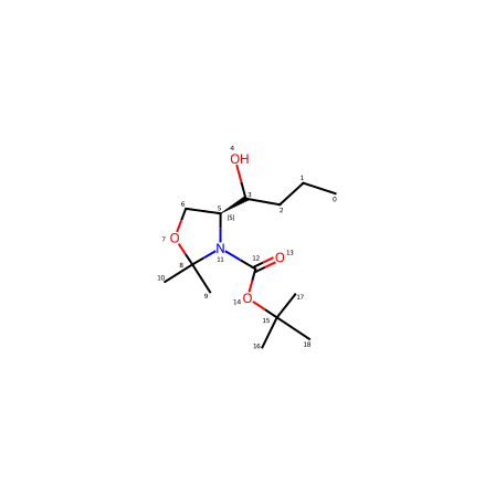 CCCC(O)[C@@H]1COC(C)(C)N1C(=O)OC(C)(C)C